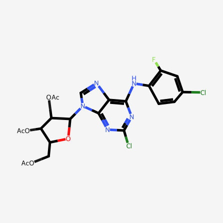 CC(=O)OCC1OC(n2cnc3c(Nc4ccc(Cl)cc4F)nc(Cl)nc32)C(OC(C)=O)C1OC(C)=O